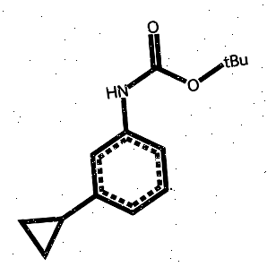 CC(C)(C)OC(=O)Nc1c[c]cc(C2CC2)c1